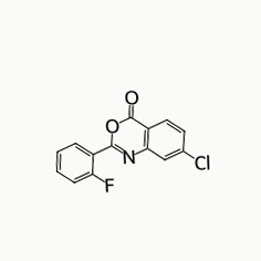 O=c1oc(-c2ccccc2F)nc2cc(Cl)ccc12